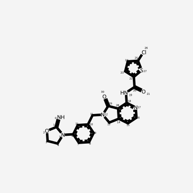 N=C1OCCN1c1cccc(CN2Cc3ccnc(NC(=O)c4ccc(Cl)s4)c3C2=O)c1